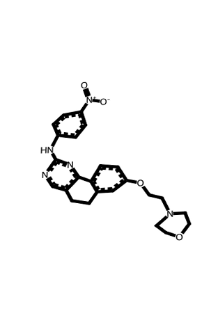 O=[N+]([O-])c1ccc(Nc2ncc3c(n2)-c2ccc(OCCN4CCOCC4)cc2CC3)cc1